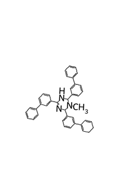 CN1C(c2cccc(C3=CCCC=C3)c2)N=C(c2cccc(-c3ccccc3)c2)NC1c1cccc(-c2ccccc2)c1